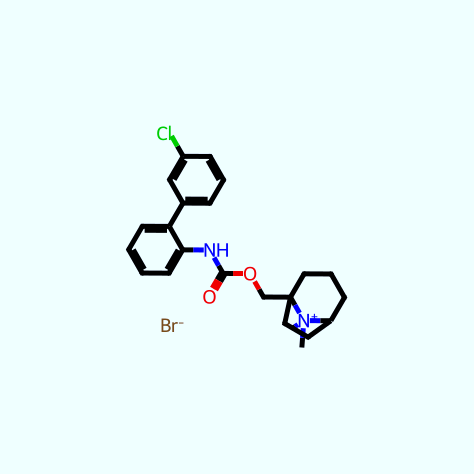 C[N+]1(C)C2CCCC1(COC(=O)Nc1ccccc1-c1cccc(Cl)c1)CC2.[Br-]